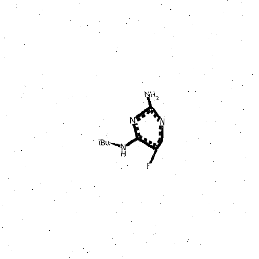 CC[C@H](C)Nc1nc(N)ncc1F